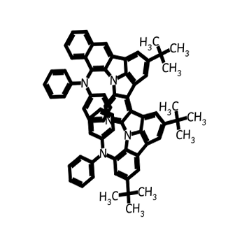 CC(C)(C)c1cc(N(c2ccccc2)c2ccccc2)c2c(c1)c1cc(C(C)(C)C)cc3c4c5c6cc(C(C)(C)C)cc7c8cc9ccccc9c(N(c9ccccc9)c9ccccc9)c8n(c5cnc4n2c13)c76